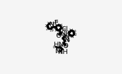 Cc1n[nH]cc1NC(=O)c1cc(NC(=O)c2cc(-c3ccccn3)c(F)cc2Cl)n(-c2ccccc2)n1